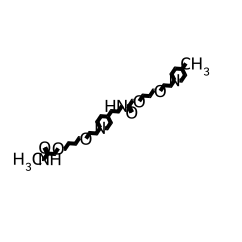 CNC(=O)COCCCCOCCN1CCC(CCNC(=O)COCCCOCCN2CCC(C)CC2)CC1